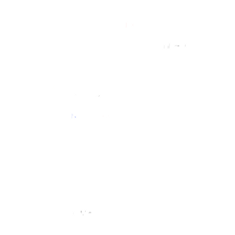 CCCCCC(O)C#CC(=O)C1(C=O)SCCN1Cc1ccc(OC)cc1